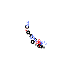 NC(=O)C12CC3C[C@H](C1)C(NC(=O)ON1CCN(c4ncc(-c5ccc(OC6CCNCC6)cc5)cn4)c4ccccc41)[C@@H](C3)C2